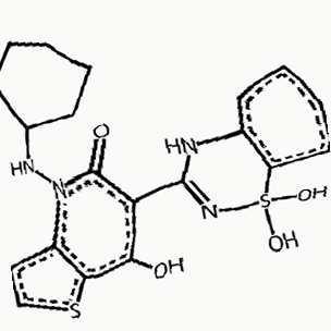 O=c1c(C2=NS(O)(O)c3ccccc3N2)c(O)c2sccc2n1NC1CCCCC1